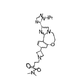 CC(C)n1ncnc1-c1cn2c(n1)-c1ccc(C3CN(CCS(=O)(=O)N(C)C)C3)cc1OCC2